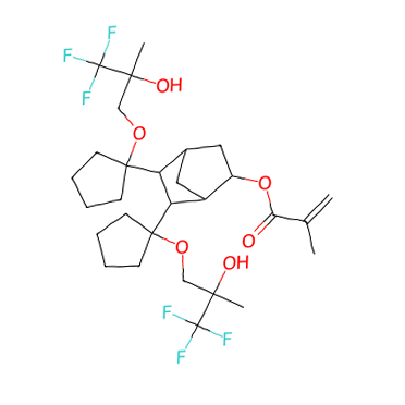 C=C(C)C(=O)OC1CC2CC1C(C1(OCC(C)(O)C(F)(F)F)CCCC1)C2C1(OCC(C)(O)C(F)(F)F)CCCC1